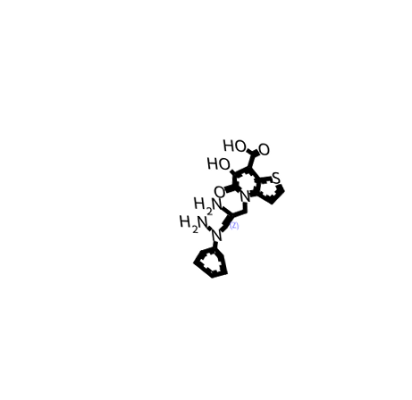 N/C(=C\N(N)c1ccccc1)Cn1c(=O)c(O)c(C(=O)O)c2sccc21